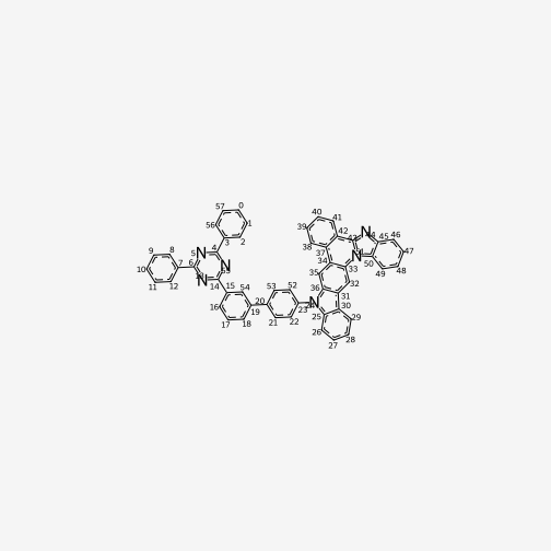 c1ccc(-c2nc(-c3ccccc3)nc(-c3cccc(-c4ccc(-n5c6ccccc6c6cc7c(cc65)c5ccccc5c5nc6ccccc6n75)cc4)c3)n2)cc1